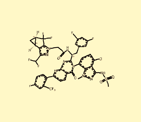 Cn1nc(NS(C)(=O)=O)c2c(Cl)ccc(-n3c([C@H](Cc4cc(F)cc(F)c4)NC(=O)Cn4nc(C(F)F)c5c4C(F)(F)[C@@H]4C[C@H]54)nc4nc(-c5ccc(F)cc5C(F)(F)F)ccc4c3=O)c21